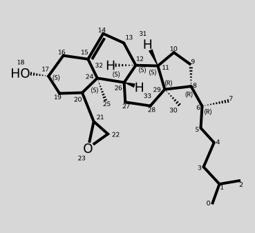 CC(C)CCC[C@@H](C)[C@H]1CC[C@H]2[C@@H]3CC=C4C[C@@H](O)CC(C5CO5)[C@]4(C)[C@H]3CC[C@]12C